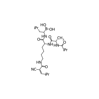 CC(C)C=C(C#N)C(=O)NCCCCC(NC(=O)C(C)NC(=O)C(C)C)C(=O)NC(CC(C)C)B(O)O